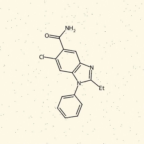 CCc1nc2cc(C(N)=O)c(Cl)cc2n1-c1c[c]ccc1